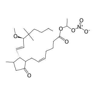 CCCCC(C)(C)[C@@H](/C=C/[C@H]1C(C)CC(=O)C1C/C=C\CCCC(=O)OC(C)O[N+](=O)[O-])OC